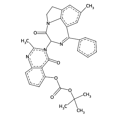 Cc1cc2c3c(c1)C(c1ccccc1)=NC(n1c(C)nc4cccc(OC(=O)OC(C)(C)C)c4c1=O)C(=O)N3CC2